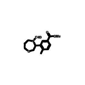 COC(=O)c1ccc(C)c(C2COCCCN2C=O)c1